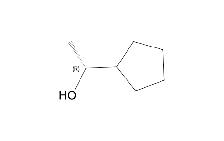 C[C@@H](O)C1CCCC1